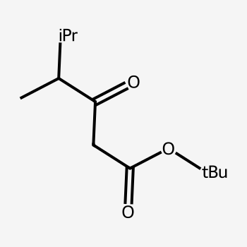 CC(C)C(C)C(=O)CC(=O)OC(C)(C)C